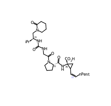 CCCCC/C=C\C1C[C@]1(NC(=O)[C@@H]1CCCN1C(=O)CNC(=O)N[C@H](CN1CCCCC1=O)C(C)C)C(=O)O